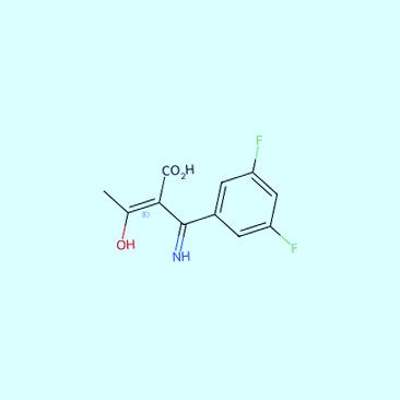 C/C(O)=C(/C(=N)c1cc(F)cc(F)c1)C(=O)O